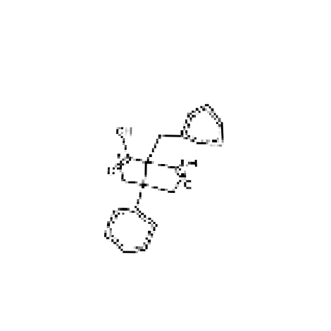 CCC(CC)(c1ccccc1)C(Cc1ccccc1)(C(=O)O)C(=O)O